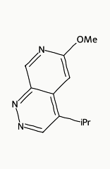 COc1cc2c(C(C)C)cnnc2cn1